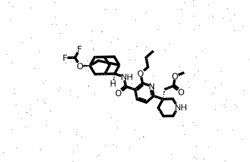 CCCOc1nc([C@]2(CC(=O)OC)CCCNC2)ccc1C(=O)N[C@H]1C2CC3CC1C[C@@](OC(F)F)(C3)C2